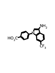 Nc1cn(-c2ccc(C(=O)O)cc2)c2cc(C(F)(F)F)ccc12